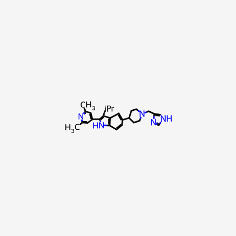 Cc1cc(-c2[nH]c3ccc(C4CCN(Cc5c[nH]cn5)CC4)cc3c2C(C)C)cc(C)n1